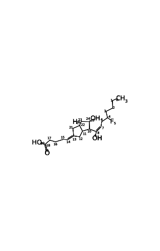 CCCCC(F)C/C=C(/O)C1C2C/C(=C/CCCC(=O)O)C[C@H]2C[C@H]1O